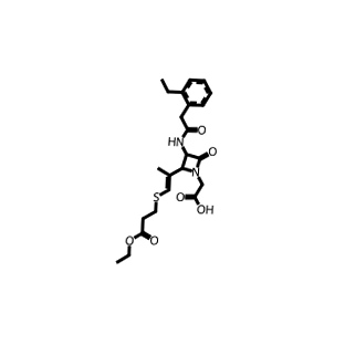 CCOC(=O)CCSC=C(C)C1C(NC(=O)Cc2ccccc2CC)C(=O)N1CC(=O)O